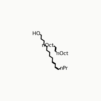 CCC/C=C\C=C\CCCCCCCCCO.CCCCCCCCC=CCCCCCCCC